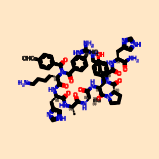 CC[C@H](C)[C@H](NC(=O)[C@H](C)NC(=O)[C@H](Cc1c[nH]cn1)NC(=O)[C@H](CCCCN)N(C(=O)c1ccc(C=O)cc1)C(=O)c1ccc(C=O)cc1)C(=O)N[C@@H](Cc1ccc(O)cc1)C(=O)N1CCC[C@H]1C(=O)N[C@@H](CCCNC(=N)N)C(=O)N[C@@H](Cc1c[nH]cn1)C(N)=O